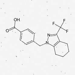 O=C(O)c1ccc(Cn2nc(C(F)(F)F)c3c2CCCC3)cc1